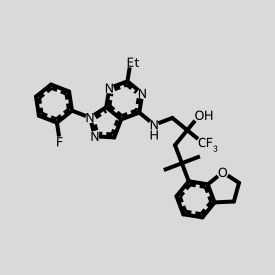 CCc1nc(NCC(O)(CC(C)(C)c2cccc3c2OCC3)C(F)(F)F)c2cnn(-c3ccccc3F)c2n1